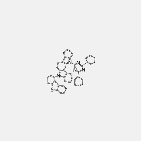 c1ccc(-c2nc(-c3ccccc3)nc(-n3c4ccccc4c4ccc5c(c6ccccc6n5-c5cccc6sc7ccccc7c56)c43)n2)cc1